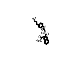 CN(C)CCCc1ccc2nc(CNC(=O)C3(CC(=O)OC(C)(C)C)Cc4ccccc4C3)sc2c1